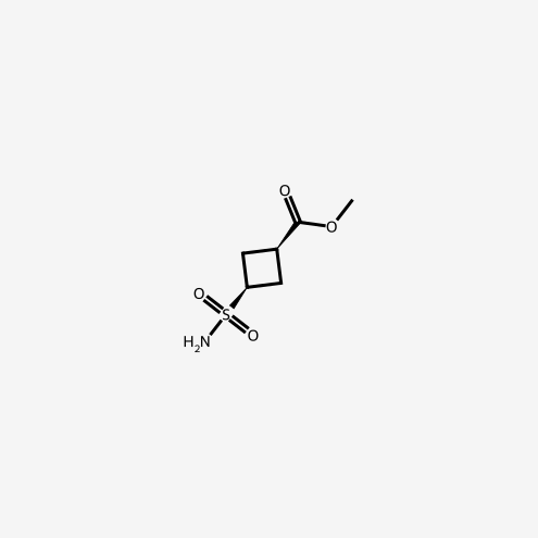 COC(=O)[C@H]1C[C@@H](S(N)(=O)=O)C1